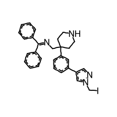 ICn1cc(-c2cccc(C3(CN=C(c4ccccc4)c4ccccc4)CCNCC3)c2)cn1